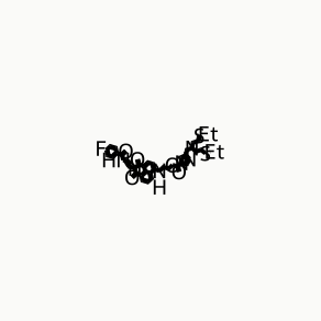 CCSCCN(CCSCC)Cc1cn(C(=O)OCCNc2ccc3c4c(cccc24)C(=O)N(CCNC(=O)c2ccc(F)cc2)C3=O)cn1